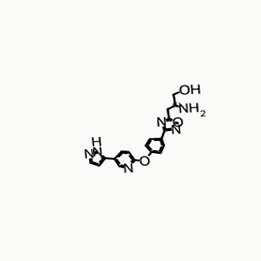 N[C@H](CO)Cc1nc(-c2ccc(Oc3ccc(-c4ccn[nH]4)cn3)cc2)no1